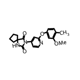 COc1cc(Oc2cc(N3C(=O)NC4(CCCC4)C3=O)ccn2)ccc1C